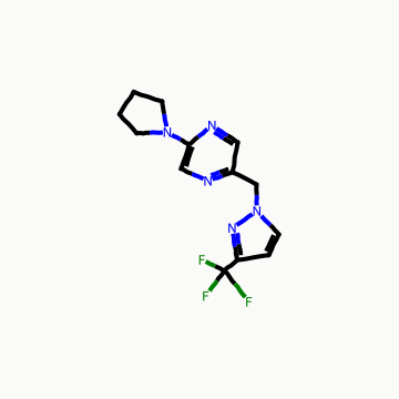 FC(F)(F)c1ccn(Cc2cnc(N3CCCC3)cn2)n1